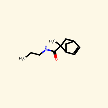 CCCNC(=O)C1(C)CC2C=CC1C2